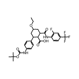 CCOC1CC(C(=O)Nc2ccc(C(F)(F)F)cc2F)C(C(=O)O)C(c2ccc(NC(=O)OC(C)(C)C)cc2)C1